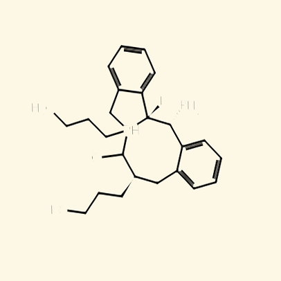 CCCC[C@@H]1Cc2ccccc2[C@@H](P)[C@H]2c3ccccc3C[PH]2(CCCC)C1Cl